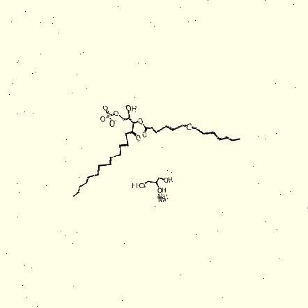 CCCCCCCCCCCCCC(=O)OC(C(=O)CCCCCCCCCCCCC)C(O)COP(=O)([O-])[O-].OCC(O)CO.[Na+].[Na+]